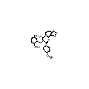 COc1ccccc1CC(C(=O)c1ccc(OC(C)C)cc1)=C(C(=O)O)c1ccc2nsnc2c1